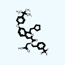 CC(C)(C)c1ccc(Oc2ccc3cc(C(=O)N(CC(=O)O)Cc4cccc(C(F)(F)F)c4)nc(CC4CCCC4)c3c2)cc1